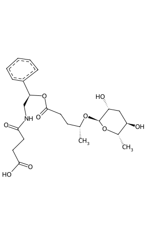 C[C@H](CCC(=O)O[C@@H](CNC(=O)CCC(=O)O)c1ccccc1)O[C@@H]1O[C@@H](C)[C@H](O)C[C@H]1O